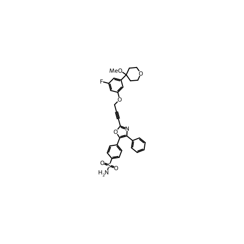 COC1(c2cc(F)cc(OCC#Cc3nc(-c4ccccc4)c(-c4ccc(S(N)(=O)=O)cc4)o3)c2)CCOCC1